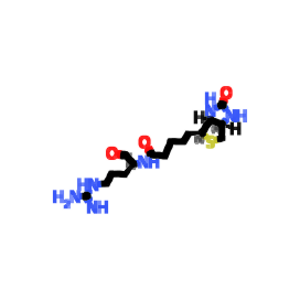 N=C(N)NCCC[C@@H]([C]=O)NC(=O)CCCC[C@@H]1SC[C@@H]2NC(=O)N[C@@H]21